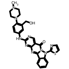 CN1CCN(c2ccc(Nc3ncc4c(=O)n5c(nc4n3)c3ccccc3n5-c3nccs3)cc2CO)CC1